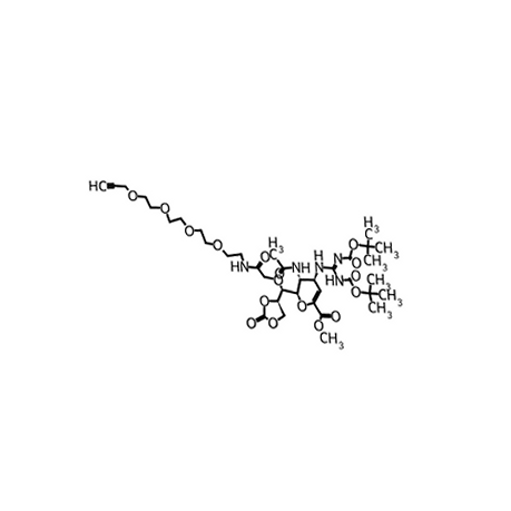 C#CCOCCOCCOCCOCCNC(=O)CO[C@@H]([C@@H]1OC(C(=O)OC)=C[C@H](N/C(=N/C(=O)OC(C)(C)C)NC(=O)OC(C)(C)C)[C@H]1NC(C)=O)[C@H]1COC(=O)O1